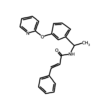 CC(NC(=O)C=Cc1ccccc1)c1cccc(Oc2ccccn2)c1